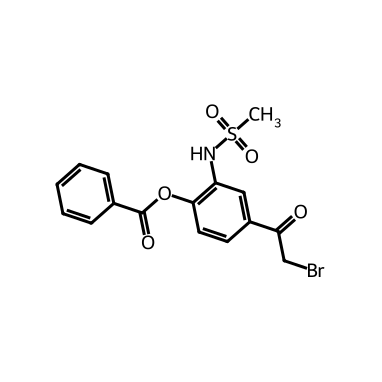 CS(=O)(=O)Nc1cc(C(=O)CBr)ccc1OC(=O)c1ccccc1